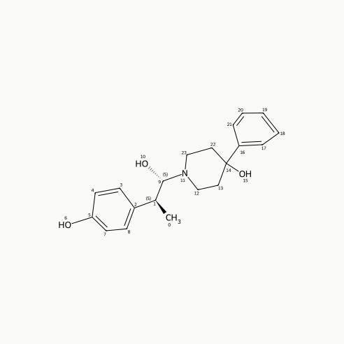 C[C@@H](c1ccc(O)cc1)[C@H](O)N1CCC(O)(c2ccccc2)CC1